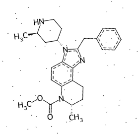 COC(=O)N1c2ccc3c(nc(Cc4ccccc4)n3[C@H]3CCN[C@H](C)C3)c2CC[C@@H]1C